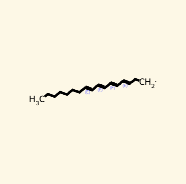 [CH2]C/C=C/C=C/C=C/C=C/CCCCCCC